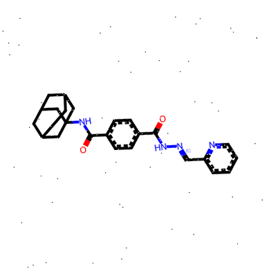 O=C(N/N=C/c1ccccn1)c1ccc(C(=O)NC23CC4CC(CC(C4)C2)C3)cc1